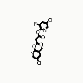 O=C(CC(=O)Oc1ncc(Cl)cc1F)Oc1ncc(Cl)cc1F